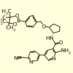 CC1(C)OB(c2ccc(CO[C@H]3CCC[C@@H]3NC(=O)c3cc(-c4ccc(C#N)nc4)cnc3N)cc2)OC1(C)C